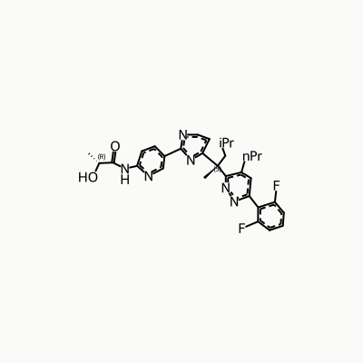 CCCc1cc(-c2c(F)cccc2F)nnc1[C@@](C)(CC(C)C)c1ccnc(-c2ccc(NC(=O)[C@@H](C)O)nc2)n1